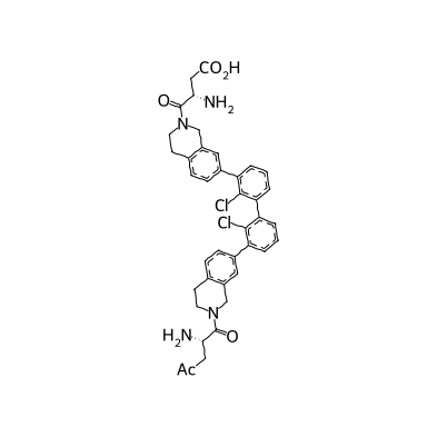 CC(=O)C[C@H](N)C(=O)N1CCc2ccc(-c3cccc(-c4cccc(-c5ccc6c(c5)CN(C(=O)[C@@H](N)CC(=O)O)CC6)c4Cl)c3Cl)cc2C1